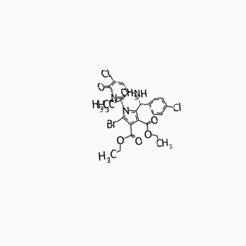 CCOC(=O)c1c(C(=O)OCC)c(C(Nc2cc(Cl)c(=O)n(C)c2)c2ccc(Cl)cc2)n(C(C)C)c1Br